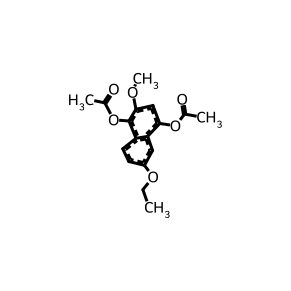 CCOc1ccc2c(OC(C)=O)c(OC)cc(OC(C)=O)c2c1